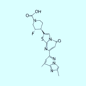 Cc1cn2nc(-c3cc(=O)n4cc([C@@H]5CCN(C(=O)O)C[C@H]5F)sc4n3)cc(C)c2n1